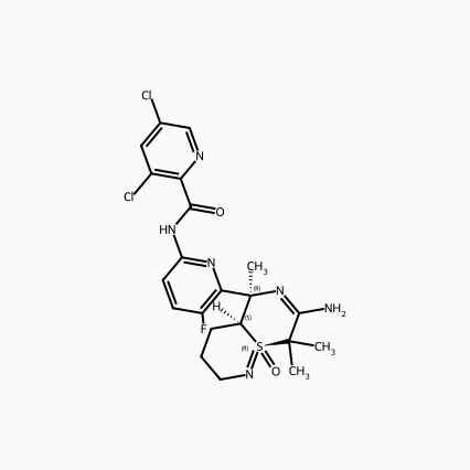 CC1(C)C(N)=N[C@](C)(c2nc(NC(=O)c3ncc(Cl)cc3Cl)ccc2F)[C@@H]2CCCN=[S@@]21=O